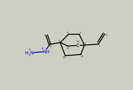 C=CC12CCC(C(=C)NN)(CC1)CC2